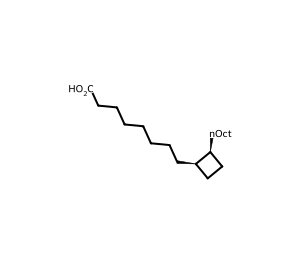 CCCCCCCC[C@H]1CC[C@H]1CCCCCCCC(=O)O